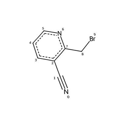 N#Cc1cccnc1CBr